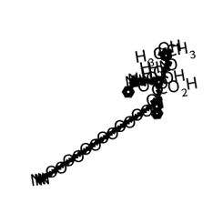 Cc1cc(C(=O)NC[C@@H](O)[C@@H](O)C2CC(O)(CNC(=O)Cn3cc(C4CCCCC4)nn3)C[C@](OCCCN(Cc3ccccc3)C(=O)CCOCCOCCOCCOCCOCCOCCOCCOCCOCCOCCOCCOCCN=[N+]=[N-])(C(=O)O)O2)cc(C)c1O